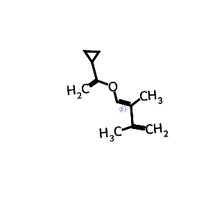 C=C(C)/C(C)=C/OC(=C)C1CC1